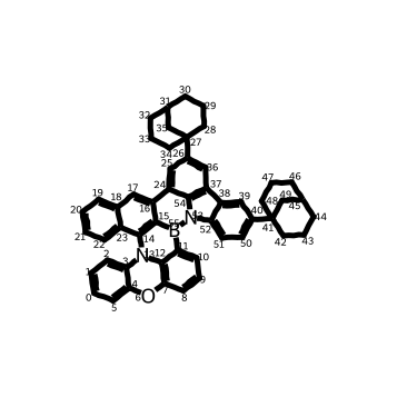 c1ccc2c(c1)Oc1cccc3c1N2c1c2c(cc4ccccc14)-c1cc(C45CCCC(CCC4)C5)cc4c5cc(C67CCCC(CCC6)C7)ccc5n(c14)B32